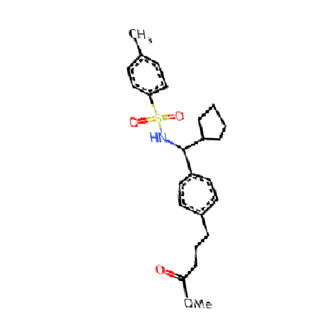 COC(=O)CCCc1ccc(C(NS(=O)(=O)c2ccc(C)cc2)C2CCCC2)cc1